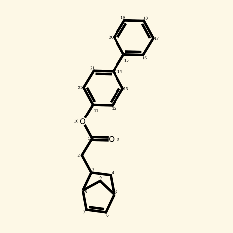 O=C(CC1CC2C=CC1C2)Oc1ccc(-c2ccccc2)cc1